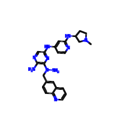 CN1CCC(Nc2cc(Nc3cnc(N)c(N(N)Cc4ccc5ncccc5c4)n3)ccn2)C1